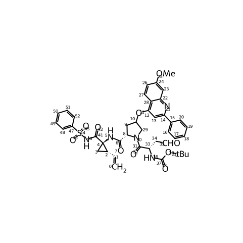 C=C[C@@H]1C[C@]1(NC(=O)[C@@H]1CC(Oc2cc(-c3ccccc3)nc3cc(OC)ccc23)CN1C(=O)[C@H](CC=O)NC(=O)OC(C)(C)C)C(=O)NS(=O)(=O)c1ccccc1